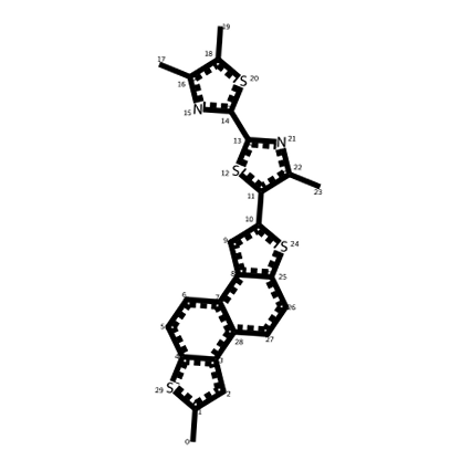 Cc1cc2c(ccc3c4cc(-c5sc(-c6nc(C)c(C)s6)nc5C)sc4ccc23)s1